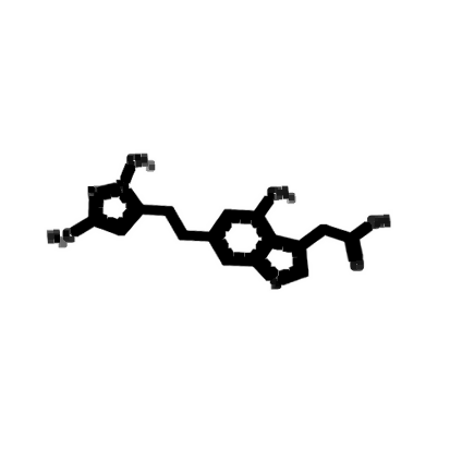 Cc1cc(CCc2cc(C)c3c(CC(=O)O)csc3c2)n(C)n1